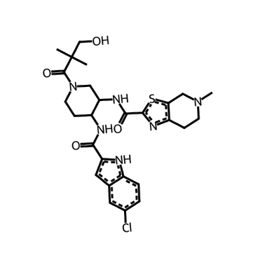 CN1CCc2nc(C(=O)NC3CN(C(=O)C(C)(C)CO)CCC3NC(=O)c3cc4cc(Cl)ccc4[nH]3)sc2C1